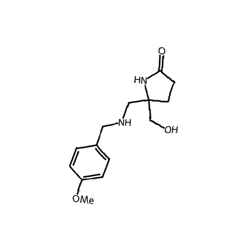 COc1ccc(CNCC2(CO)CCC(=O)N2)cc1